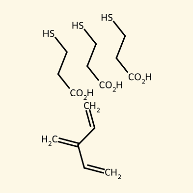 C=CC(=C)C=C.O=C(O)CCS.O=C(O)CCS.O=C(O)CCS